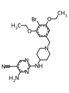 CCOc1cc(CN2CCC(Nc3ncc(C#N)c(N)n3)CC2)cc(OCC)c1Br